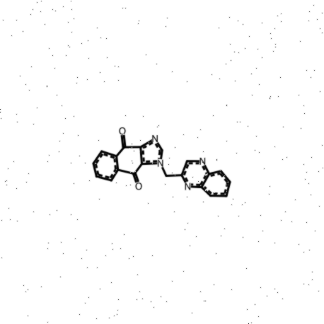 O=C1c2ccccc2C(=O)c2c1ncn2Cc1cnc2ccccc2n1